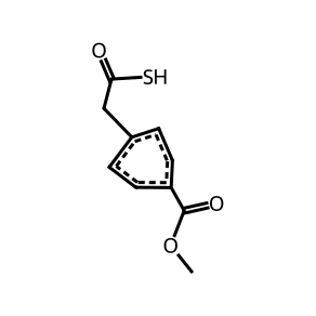 COC(=O)c1ccc(CC(=O)S)cc1